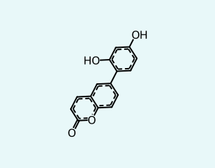 O=c1ccc2cc(-c3ccc(O)cc3O)ccc2o1